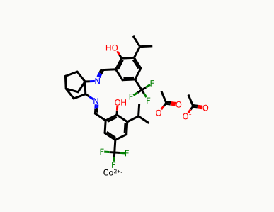 CC(=O)[O-].CC(=O)[O-].CC(C)c1cc(C(F)(F)F)cc(C=NC2CC3CCC2(N=Cc2cc(C(F)(F)F)cc(C(C)C)c2O)C3)c1O.[Co+2]